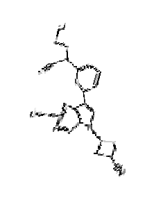 N#CC1CC(n2cc(-c3cccc([C@@H](C#N)CCCl)n3)c3cc(Cl)ncc32)C1